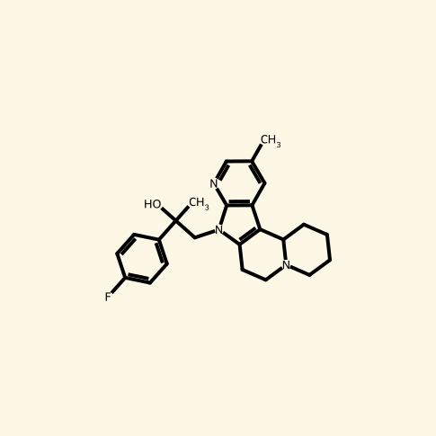 Cc1cnc2c(c1)c1c(n2CC(C)(O)c2ccc(F)cc2)CCN2CCCCC12